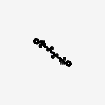 O=C(/C=C/C(=O)OCCOC(=O)Nc1ccccc1)OCCOC(=O)Nc1ccccc1